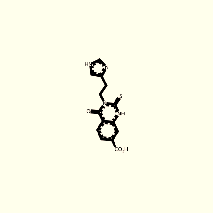 O=C(O)c1ccc2c(=O)n(CCc3c[nH]cn3)c(=S)[nH]c2c1